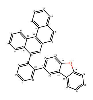 c1ccc(-c2cc3ccc4ccccc4c3c3ccccc23)c(-c2ccc3oc4ccccc4c3c2)c1